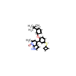 Cc1cc(-c2cc(SC3CCC3)ccc2Oc2cccc(C(C)(C)C)c2)c2cc[nH]c2[n+]1[O-]